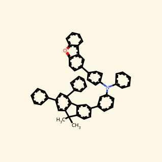 CC1(C)c2ccc(-c3cccc(N(c4ccccc4)c4ccc(-c5ccc6oc7ccccc7c6c5)cc4)c3)cc2-c2c(-c3ccccc3)cc(-c3ccccc3)cc21